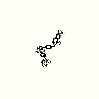 CC(C)(C)c1ccc2c(c1)CCN(Cc1ccc(-c3ccnc4[nH]c(-c5ccc(C(=O)N6CCOCC6)cc5)nc34)cc1)C2=O